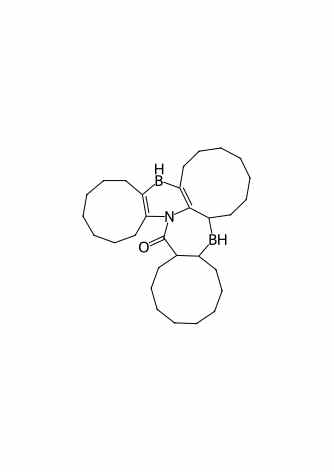 O=C1C2CCCCCCCCC2BC2CCCCCCCC3=C2N1C1=C(B3)CCCCCCC1